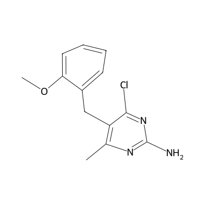 COc1ccccc1Cc1c(C)nc(N)nc1Cl